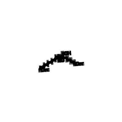 CCCCCCCCCCCCCCCCCCCC(=O)NC(CO)C(O)CCCCCCCCCCCCCCC